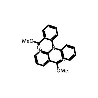 COC(=O)c1ccccc1N(c1ccccc1)c1ncccc1C(=O)OC